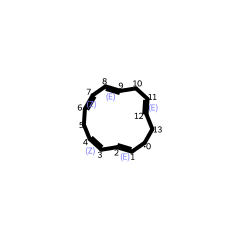 [CH]1/C=C/C=C\C/C=C\C=C\C/C=C/C1